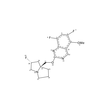 COc1c(F)cc(F)c2nc(OC[C@@]34CCCN3C[C@H](F)C4)ncc12